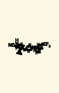 N#Cc1cc2c(C3CC3)c(CN3CCC(Nc4ncnc5sc(CC(F)(F)F)cc45)CC3)ccc2[nH]1